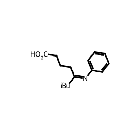 CCC(C)C(CCCC(=O)O)=Nc1ccccc1